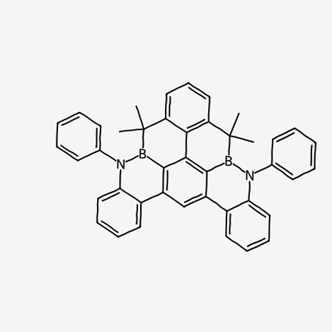 CC1(C)B2c3c(cc4c5c3-c3c1cccc3C(C)(C)B5N(c1ccccc1)c1ccccc1-4)-c1ccccc1N2c1ccccc1